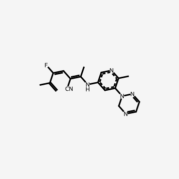 C=C(C)/C(F)=C\C(C#N)=C(/C)Nc1cnc(C)c(N2CN=CC=N2)c1